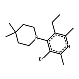 CCc1c(C)nc(C)c(Br)c1N1CCC(C)(C)CC1